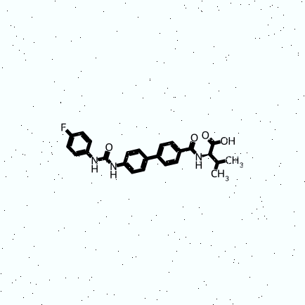 CC(C)[C@@H](NC(=O)c1ccc(-c2ccc(NC(=O)Nc3ccc(F)cc3)cc2)cc1)C(=O)O